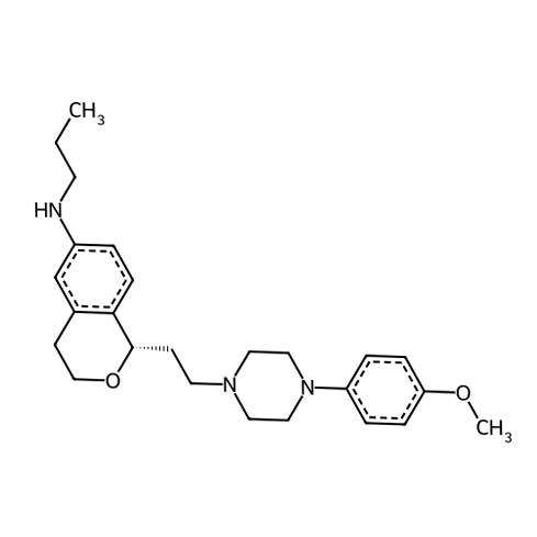 CCCNc1ccc2c(c1)CCO[C@H]2CCN1CCN(c2ccc(OC)cc2)CC1